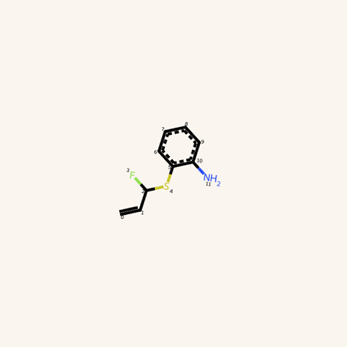 C=CC(F)Sc1ccccc1N